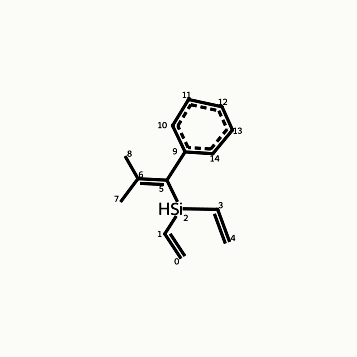 C=C[SiH](C=C)C(=C(C)C)c1ccccc1